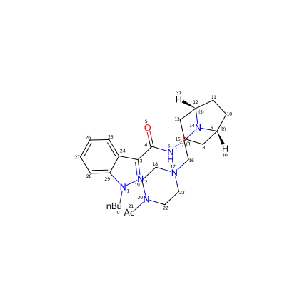 CCCCn1nc(C(=O)N[C@H]2C[C@H]3CC[C@@H](C2)N3CCN2CCN(C(C)=O)CC2)c2ccccc21